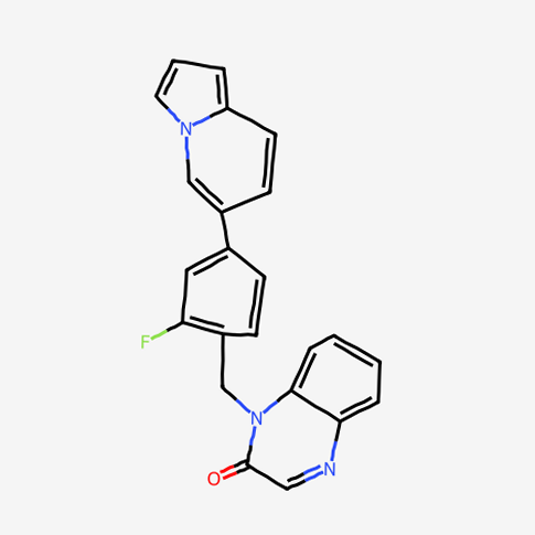 O=c1cnc2ccccc2n1Cc1ccc(-c2ccc3cccn3c2)cc1F